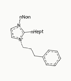 CCCCCCCCCn1cc[n+](CCCc2ccccc2)c1CCCCCCC